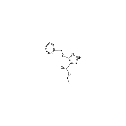 CCOC(=O)c1c[nH]nc1OCc1ccccc1